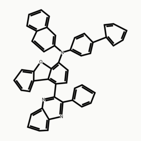 c1ccc(-c2ccc(N(c3ccc4ccccc4c3)c3ccc(-c4nc5ccccc5nc4-c4ccccc4)c4c3oc3ccccc34)cc2)cc1